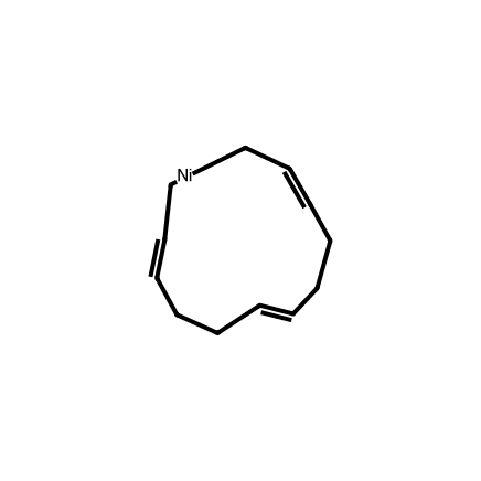 C1=C\[CH2][Ni][CH2]/C=C/CC/C=C/CC/1